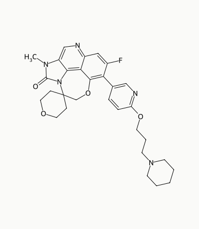 Cn1c(=O)n2c3c4c(c(-c5ccc(OCCCN6CCCCC6)nc5)c(F)cc4ncc31)OCC21CCOCC1